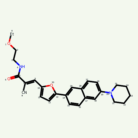 CCOCCNC(=O)/C(C#N)=C/c1ccc(-c2ccc3cc(N4CCCCC4)ccc3c2)o1